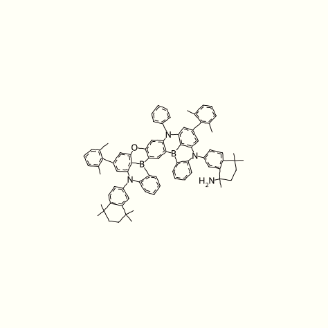 Cc1cccc(C)c1-c1cc2c3c(c1)N(c1ccc4c(c1)C(C)(C)CCC4(C)C)c1ccccc1B3c1cc3c(cc1O2)N(c1ccccc1)c1cc(-c2c(C)cccc2C)cc2c1B3c1ccccc1N2c1ccc2c(c1)C(C)(N)CCC2(C)C